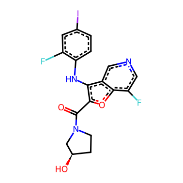 O=C(c1oc2c(F)cncc2c1Nc1ccc(I)cc1F)N1CC[C@@H](O)C1